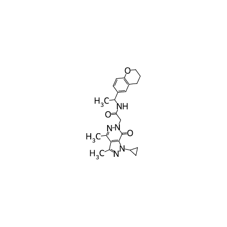 Cc1nn(CC(=O)NC(C)c2ccc3c(c2)CCCO3)c(=O)c2c1c(C)nn2C1CC1